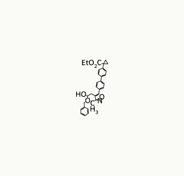 CCOC(=O)C1(c2ccc(-c3ccc(-c4onc(C)c4CC(O)OCc4ccccc4)cc3)cc2)CC1